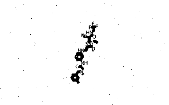 CCn1c(=C(C#N)C(=O)NCC(F)(F)F)sc(=CNc2cccc(NC(=O)CN(C)Cc3cccc(C)c3)c2)c1=O